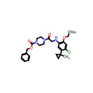 COCOc1cc(Cl)c(C2(C)CC2)cc1NCC(=O)N1CCN(C(=O)OCc2ccccc2)CC1